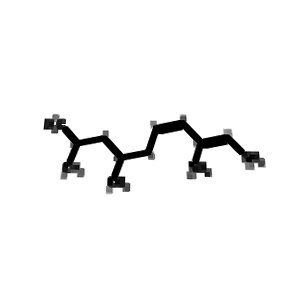 CC(C)CC(C)C/C=C\C(N)=C\N